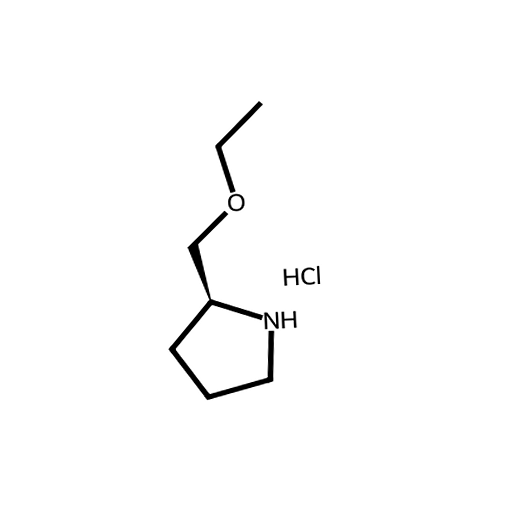 CCOC[C@@H]1CCCN1.Cl